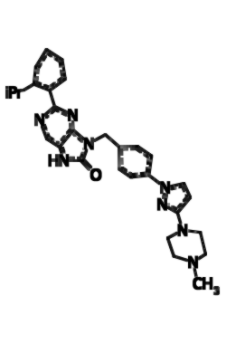 CC(C)c1ccccc1-c1ncc2[nH]c(=O)n(Cc3ccc(-n4ccc(N5CCN(C)CC5)n4)cc3)c2n1